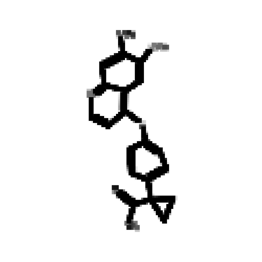 COc1cc2nccc(Oc3ccc(C4(C(N)=O)CC4)cc3)c2cc1OC